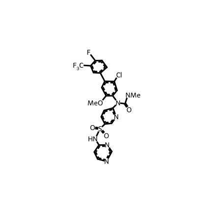 CNC(=O)N(c1ccc(S(=O)(=O)Nc2ccncn2)cn1)c1cc(Cl)c(-c2ccc(F)c(C(F)(F)F)c2)cc1OC